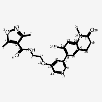 Cc1noc(C)c1C(=O)NCCOc1cncc(-c2cc3c(cc2F)N(C)C(=O)CC3)c1